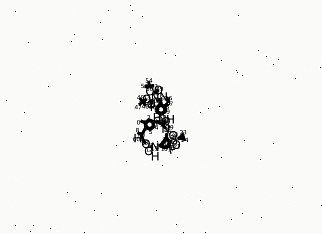 Cc1cc2ccc1[C@@H](C)COC(=O)Nc1cc(F)c(S(=O)(=O)C3CC3)c(c1)CN(C)C(=O)[C@@H]2Nc1cc(F)c2c(N(C(=O)OC(C)(C)C)C(=O)OC(C)(C)C)nccc2c1